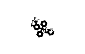 FC(F)(F)c1cc(C(c2ccccc2)(c2ccccc2)n2cc3cccnc3n2)ccc1I